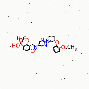 CCOc1ccccc1OC1CCCN(c2ncc(N(C=O)Cc3cccc(C(=O)O)c3OC)cn2)C1